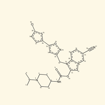 CC(C)N1CCC(NC(=O)Oc2cc3cc(C#N)ccc3n2Cc2cc(-c3ccc(Cl)s3)on2)CC1